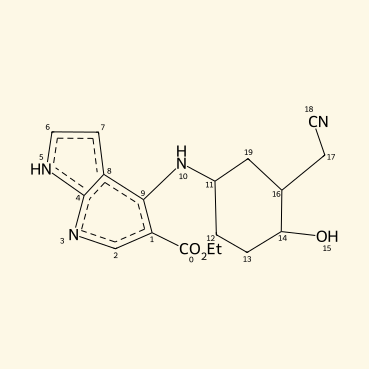 CCOC(=O)c1cnc2[nH]ccc2c1NC1CCC(O)C(CC#N)C1